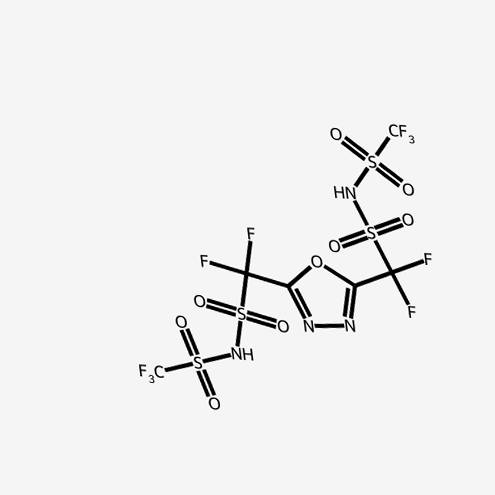 O=S(=O)(NS(=O)(=O)C(F)(F)c1nnc(C(F)(F)S(=O)(=O)NS(=O)(=O)C(F)(F)F)o1)C(F)(F)F